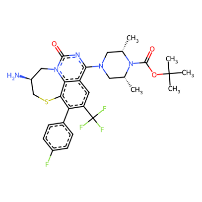 C[C@@H]1CN(c2nc(=O)n3c4c(c(-c5ccc(F)cc5)c(C(F)(F)F)cc24)SC[C@@H](N)C3)C[C@H](C)N1C(=O)OC(C)(C)C